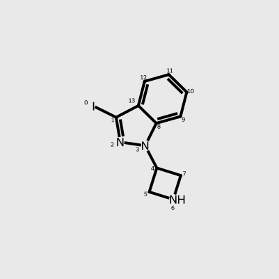 Ic1nn(C2CNC2)c2ccccc12